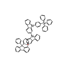 c1ccc(C2(c3ccccc3)c3ccccc3-c3cccc(-c4ccc5c(c4)c4ccccc4n5-c4ccc5c6ccccc6n(-c6ccc([Si](c7ccccc7)(c7ccccc7)c7ccccc7)cc6)c5c4)c32)cc1